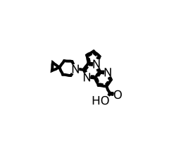 O=C(O)c1cnc2c(c1)nc(N1CCC3(CC1)CC3)c1cccn12